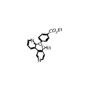 CCOC(=O)c1ccc(Oc2ncccc2-c2cnccc2OCC)cc1